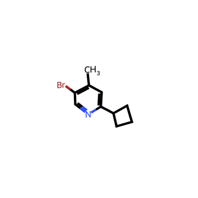 Cc1cc(C2CCC2)ncc1Br